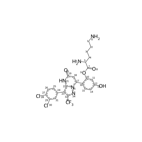 NCCCCC(N)C(=O)Oc1cc(O)ccc1-c1cc(=O)[nH]c2c(-c3ccc(Cl)c(Cl)c3)c(C(F)(F)F)nn12